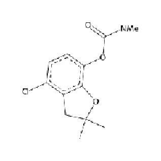 CNC(=O)Oc1ccc(Cl)c2c1OC(C)(C)C2